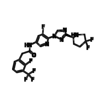 O=C(Cc1cccc(C(F)(F)F)c1F)Nc1cnc(-n2cnc([C@@H]3CCC(F)(F)CN3)n2)c(F)c1